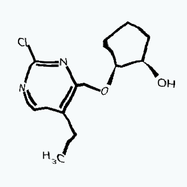 CCc1cnc(Cl)nc1O[C@H]1CCC[C@H]1O